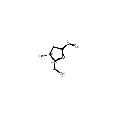 OC[C@@H]1OC(OCl)C[C@H]1O